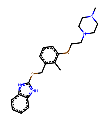 Cc1c(CSc2nc3ccccc3[nH]2)cccc1SCCN1CCN(C)CC1